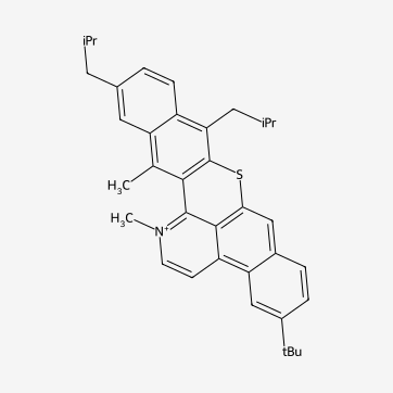 Cc1c2c(c(CC(C)C)c3ccc(CC(C)C)cc13)Sc1cc3ccc(C(C)(C)C)cc3c3cc[n+](C)c-2c13